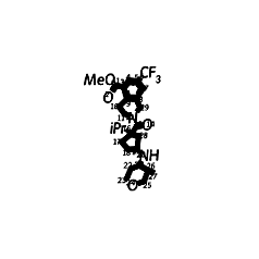 COC(=O)c1cc(C(F)(F)F)cc2c1CCN(C(=O)[C@@]1(C(C)C)CC[C@@H](NC3CCOCC3C)C1)C2